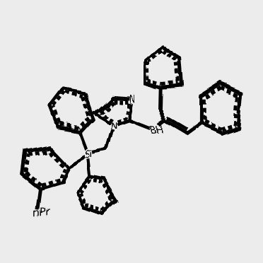 CCCc1cccc([Si](Cn2ccnc2BC(=Cc2ccccc2)c2ccccc2)(c2ccccc2)c2ccccc2)c1